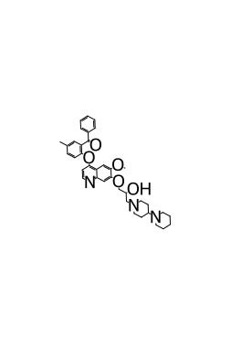 COc1cc2c(Oc3ccc(C)cc3C(=O)c3ccccc3)ccnc2cc1OCC(O)CN1CCC(N2CCCCC2)CC1